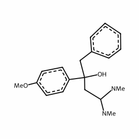 CNC(CC(O)(Cc1ccccc1)c1ccc(OC)cc1)NC